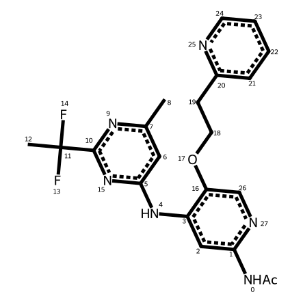 CC(=O)Nc1cc(Nc2cc(C)nc(C(C)(F)F)n2)c(OCCc2ccccn2)cn1